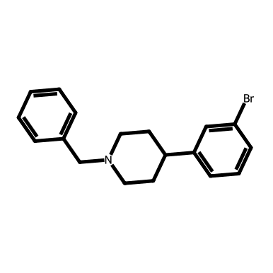 Brc1cccc(C2CCN(Cc3ccccc3)CC2)c1